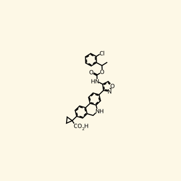 CC(OC(=O)Nc1conc1-c1ccc2c(c1)NCc1cc(C3(C(=O)O)CC3)ccc1-2)c1ccccc1Cl